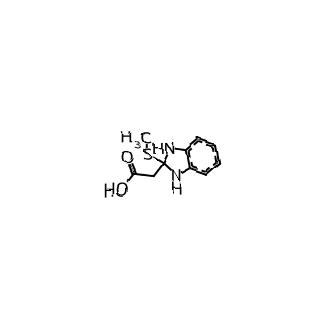 CSC1(CC(=O)O)Nc2ccccc2N1